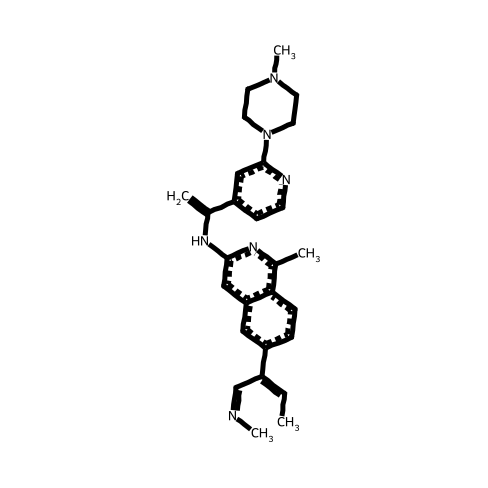 C=C(Nc1cc2cc(C(/C=N\C)=C/C)ccc2c(C)n1)c1ccnc(N2CCN(C)CC2)c1